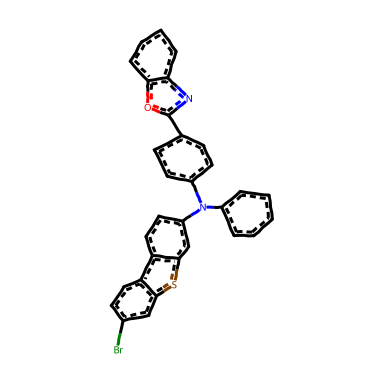 Brc1ccc2c(c1)sc1cc(N(c3ccccc3)c3ccc(-c4nc5ccccc5o4)cc3)ccc12